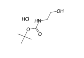 CC(C)(C)OC(=O)NCCO.Cl